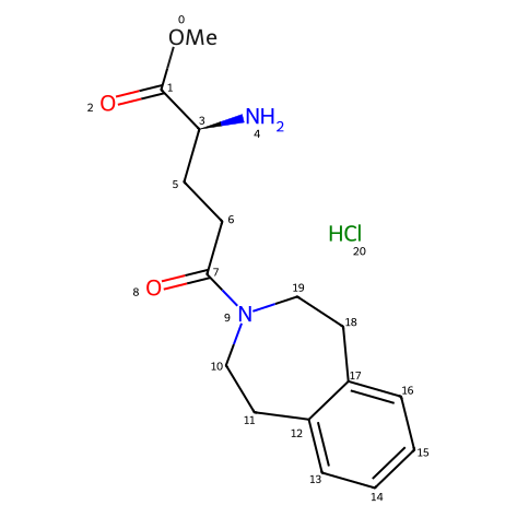 COC(=O)[C@@H](N)CCC(=O)N1CCc2ccccc2CC1.Cl